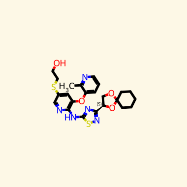 Cc1ncccc1Oc1cc(SCCO)cnc1Nc1nc([C@H]2COC3(CCCCC3)O2)ns1